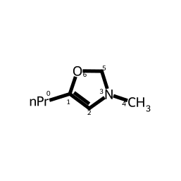 CCCC1=CN(C)CO1